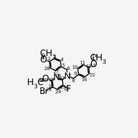 COc1ccc(CN(Cc2ccc(OC)cc2)c2nc(OC)c(Br)cc2F)cc1